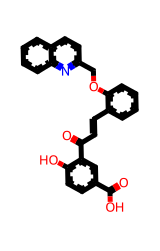 O=C(O)c1ccc(O)c(C(=O)C=Cc2ccccc2OCc2ccc3ccccc3n2)c1